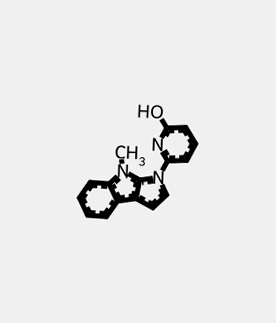 Cn1c2ccccc2c2ccn(-c3cccc(O)n3)c21